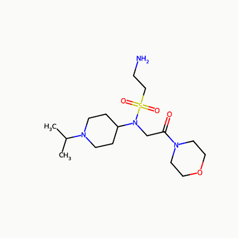 CC(C)N1CCC(N(CC(=O)N2CCOCC2)S(=O)(=O)CCN)CC1